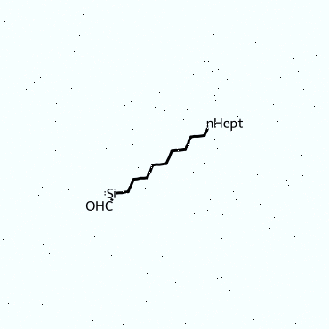 CCCCCCCCCCCCCCCC[Si]C=O